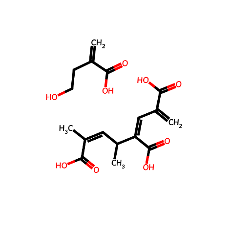 C=C(C=C(C(=O)O)C(C)C=C(C)C(=O)O)C(=O)O.C=C(CCO)C(=O)O